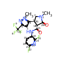 CN1C[C@H](c2cc(C(F)(F)F)nn2C)[C@@H](C(=O)Nc2ccc(F)nc2F)C1=O